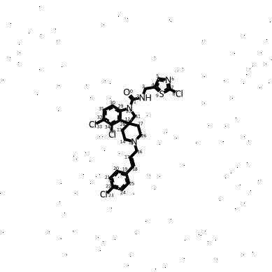 O=C(NCc1cnc(Cl)s1)N1CC2(CCN(C/C=C/c3ccc(Cl)cc3)CC2)c2c1ccc(Cl)c2Cl